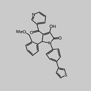 COCc1ccccc1C1C(C(=O)c2cccnc2)=C(O)C(=O)N1c1ccc(-c2ccsc2)cc1